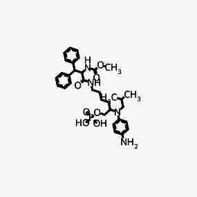 COC(=O)NC(C(=O)NCCCCC(COP(=O)(O)O)N(CC(C)C)c1ccc(N)cc1)C(c1ccccc1)c1ccccc1